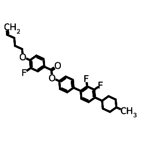 C=CCCCOc1ccc(C(=O)Oc2ccc(-c3ccc(C4CCC(C)CC4)c(F)c3F)cc2)cc1F